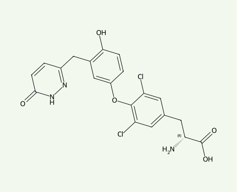 N[C@H](Cc1cc(Cl)c(Oc2ccc(O)c(Cc3ccc(=O)[nH]n3)c2)c(Cl)c1)C(=O)O